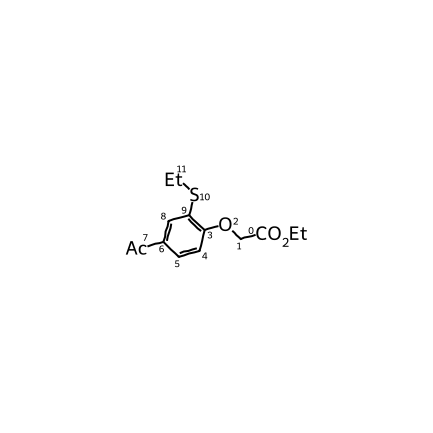 CCOC(=O)COc1ccc(C(C)=O)cc1SCC